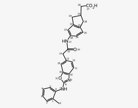 Cc1ccccc1Nc1nc2ccc(CC(=O)Nc3ccc4c(c3)CC(CC(=O)O)C4)cc2o1